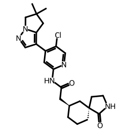 CC1(C)Cc2c(-c3cc(NC(=O)C[C@@H]4CCC[C@@]5(CCNC5=O)C4)ncc3Cl)cnn2C1